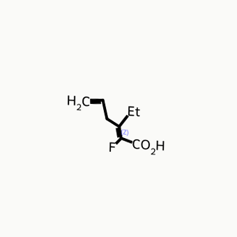 C=CC/C(CC)=C(\F)C(=O)O